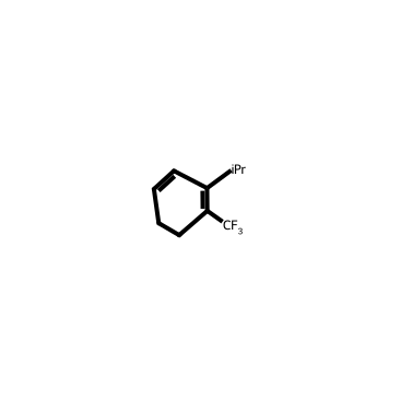 CC(C)C1=C(C(F)(F)F)CCC=C1